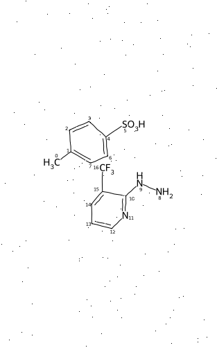 Cc1ccc(S(=O)(=O)O)cc1.NNc1ncccc1C(F)(F)F